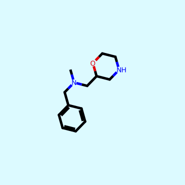 CN(Cc1ccccc1)CC1CNCCO1